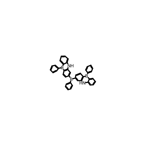 c1ccc(B(c2ccc3c(c2)Nc2ccccc2B3c2ccccc2)c2ccc3c(c2)Nc2ccccc2B3c2ccccc2)cc1